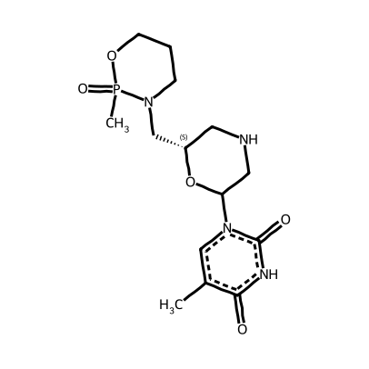 Cc1cn(C2CNC[C@@H](CN3CCCOP3(C)=O)O2)c(=O)[nH]c1=O